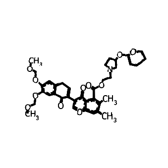 COCOc1cc2c(cc1OCOC)C(=O)C(c1coc3cc(C)c(C)c(C(=O)OCCN4CCC(OC5CCCCO5)C4)c3c1=O)=CC2